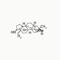 COC[C@]12CC[C@@](C)(O)C[C@H]1CC[C@@H]1[C@@H]2CC[C@]2(C)C(=N)CC[C@@H]12